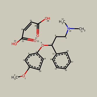 COc1ccc(OC(CCN(C)C)c2ccccc2)cc1.O=C(O)/C=C\C(=O)O